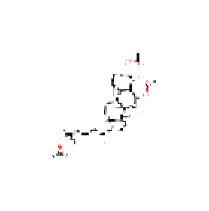 CC(=O)O[C@H]1CC[C@@]2(C)C(=CC(=O)[C@H]3[C@@H]4CC[C@H]([C@H](C)CCCC(C)(C)OC(C)=O)[C@@]4(C)CC[C@@H]32)[C@H]1OC(C)=O